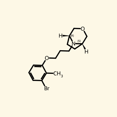 Cc1c(Br)cccc1OCCCN1[C@@H]2CC[C@H]1COC2